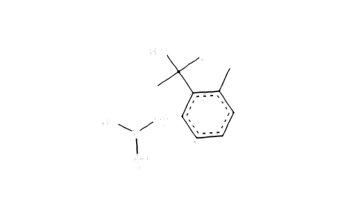 Cc1ccccc1C(C)(C)P.OB(O)O